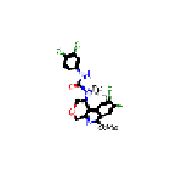 COc1nc2c(c3cc(F)c(F)cc13)C(N(C)C(=O)Nc1ccc(F)c(Cl)c1)COC2